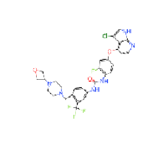 O=C(Nc1ccc(CN2CCN(C3COC3)CC2)c(C(F)(F)F)c1)Nc1ccc(Oc2ccnc3[nH]cc(Cl)c23)cc1F